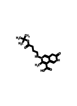 CC1=C(C(=O)O)C2=CNC(=O)CC2=CN1NCCCC(=O)OC(C)(C)C